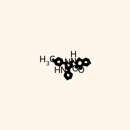 Cc1ccc(-c2nc(NC3=Cc4ccccc4C(=O)C3=O)cc3c2[nH]c2ccccc23)cc1